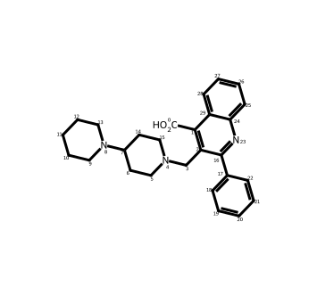 O=C(O)c1c(CN2CCC(N3CCCCC3)CC2)c(-c2ccccc2)nc2ccccc12